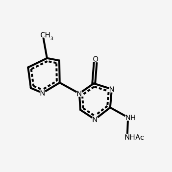 CC(=O)NNc1ncn(-c2cc(C)ccn2)c(=O)n1